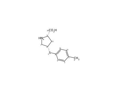 Cc1ccc(S[C@@H]2CN[C@H](C(=O)O)C2)cc1